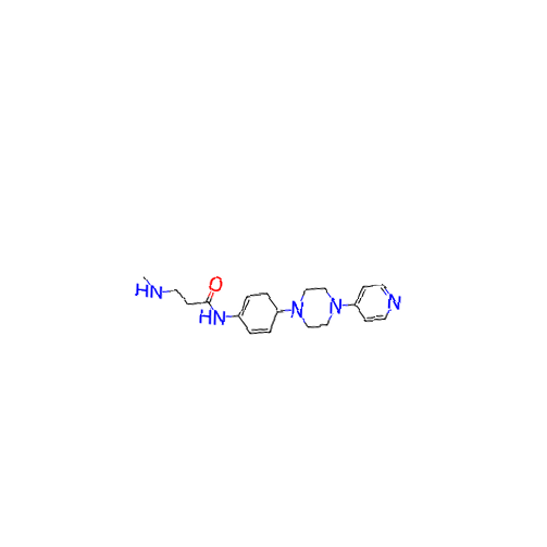 CNCCC(=O)NC1=CCC(N2CCN(c3ccncc3)CC2)C=C1